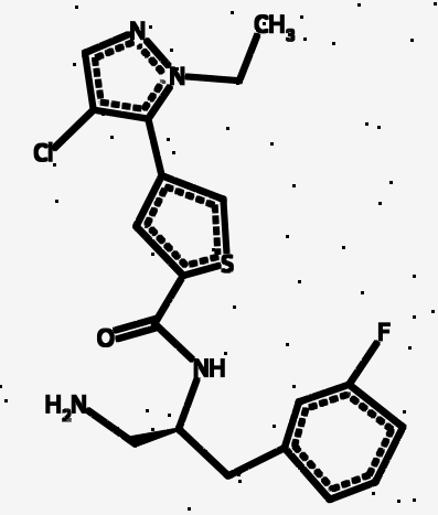 CCn1ncc(Cl)c1-c1csc(C(=O)N[C@H](CN)Cc2cccc(F)c2)c1